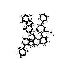 C=C1CC(C2=CC=CCC2)=NC(c2cccc3c2sc2ccccc23)=NC1C1=CC(Cc2oc3c(-c4ccccc4)cccc3c2/C=C\C)CC=C1